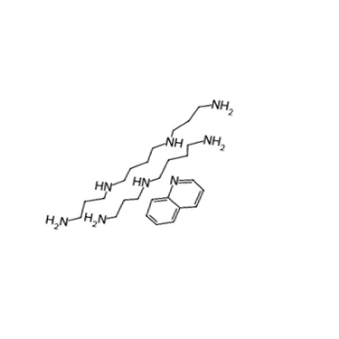 NCCCCNCCCN.NCCCNCCCCNCCCN.c1ccc2ncccc2c1